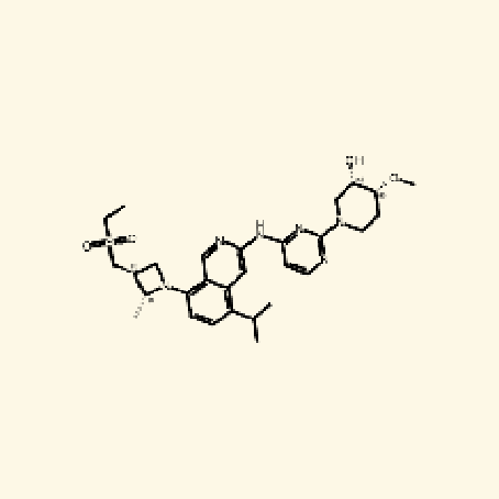 CCS(=O)(=O)C[C@H]1CN(c2ccc(C(C)C)c3cc(Nc4ccnc(N5CC[C@@H](OC)[C@@H](O)C5)n4)ncc23)[C@@H]1C